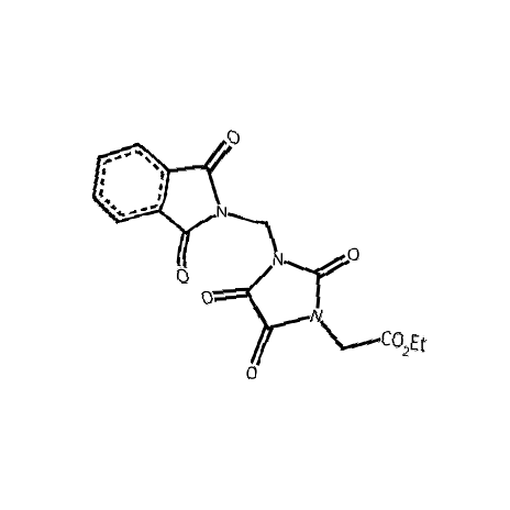 CCOC(=O)CN1C(=O)C(=O)N(CN2C(=O)c3ccccc3C2=O)C1=O